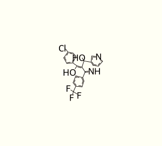 N=C(/C(=C(\O)c1ccc(Cl)cc1)C(O)c1cccnc1)c1ccc(C(F)(F)F)cc1